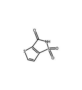 O=C1NS(=O)(=O)c2ccsc21